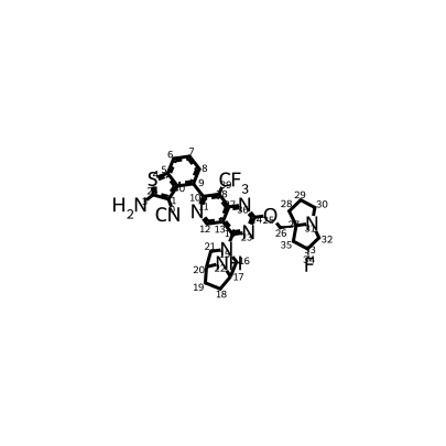 N#Cc1c(N)sc2cccc(-c3ncc4c(N5CC6CCC(C5)N6)nc(OC[C@@]56CCCN5C[C@H](F)C6)nc4c3C(F)(F)F)c12